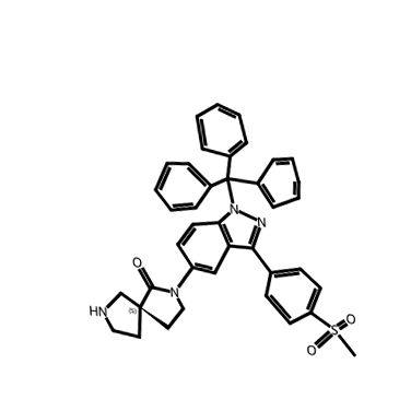 CS(=O)(=O)c1ccc(-c2nn(C(c3ccccc3)(c3ccccc3)c3ccccc3)c3ccc(N4CC[C@]5(CCNC5)C4=O)cc23)cc1